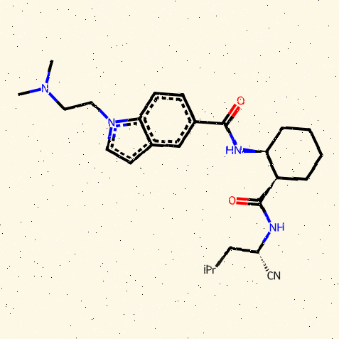 CC(C)C[C@@H](C#N)NC(=O)[C@@H]1CCCC[C@@H]1NC(=O)c1ccc2c(ccn2CCN(C)C)c1